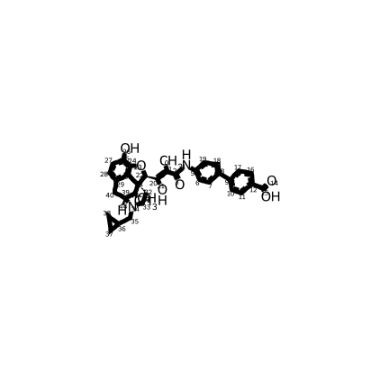 C/C(C(=O)Nc1ccc(-c2ccc(C(=O)O)cc2)cc1)=C(/O)[C@@H]1Oc2c(O)ccc3c2[C@@]12CCN(CC1CC1)[C@H](C3)[C@@]2(C)O